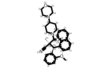 COc1ccccc1[C@H](c1cccc2ccccc12)[C@@](C)(C#N)C(=O)N1CCC(N2CCOCC2)CC1